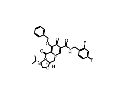 CC(C)[C@H]1CO[C@@H]2Cn3cc(C(=O)NCc4ccc(F)cc4F)c(=O)c(OCc4ccccc4)c3C(=O)N12